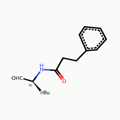 CCCC[C@@H]([C]=O)NC(=O)CCc1ccccc1